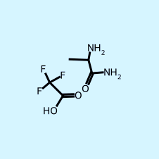 CC(N)C(N)=O.O=C(O)C(F)(F)F